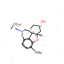 CC(=O)O.COc1ccc2c3c1O[C@H]1C[C@@H](O)CC[C@@]31CCN(C)C2